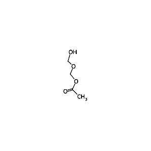 CC(=O)OCOCO